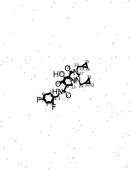 O=C(NCc1ccc(F)cc1F)c1cn2c(c(O)c1=O)C(=O)N(CC1CC1)CN2CC1CC1